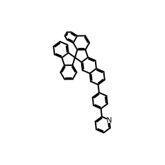 c1ccc(-c2ccc(-c3ccc4cc5c(cc4c3)C3(c4ccccc4-c4ccccc43)c3c-5ccc4ccccc34)cc2)nc1